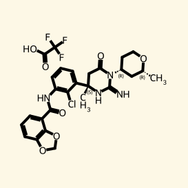 C[C@@H]1C[C@H](N2C(=N)N[C@](C)(c3cccc(NC(=O)c4cccc5c4OCO5)c3Cl)CC2=O)CCO1.O=C(O)C(F)(F)F